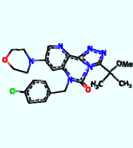 COC(C)(C)c1nnc2c3ncc(N4CCOCC4)cc3n(Cc3ccc(Cl)cc3)c(=O)n12